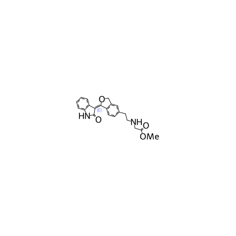 COC(=O)CNCCc1ccc2c(c1)CO/C2=C1/C(=O)Nc2ccccc21